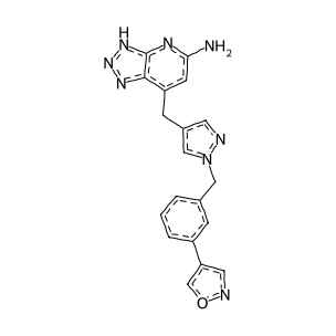 Nc1cc(Cc2cnn(Cc3cccc(-c4cnoc4)c3)c2)c2nn[nH]c2n1